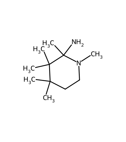 CN1CCC(C)(C)C(C)(C)C1(C)N